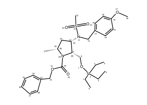 CC[Si](CC)(CC)OC[C@H]1[C@@H](N(Cc2ccc(OC)cc2)S(C)(=O)=O)C[C@@H](C)N1C(=O)OCc1ccccc1